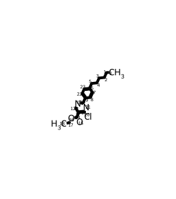 CCCCCCc1ccc(-c2ncc(C(=O)OCC)c(Cl)n2)cc1